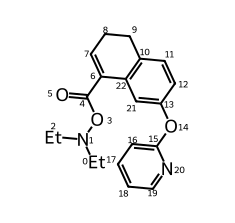 CCN(CC)OC(=O)C1=CCCc2ccc(Oc3ccccn3)cc21